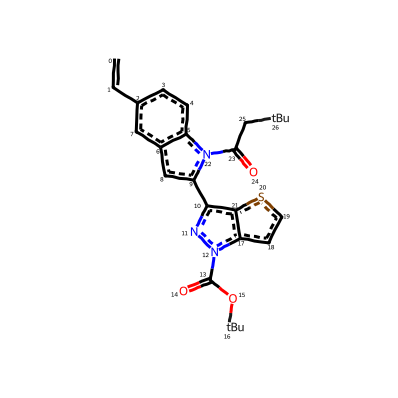 C=Cc1ccc2c(c1)cc(-c1nn(C(=O)OC(C)(C)C)c3ccsc13)n2C(=O)CC(C)(C)C